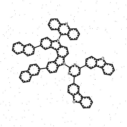 c1ccc2cc(-c3ccc4c(c3)c3c5c6cc(-c7ccc8ccccc8c7)ccc6n(-c6c7ccccc7nc7ccccc67)c5ccc3n4-c3nc(-c4ccc5oc6ccccc6c5c4)cc(-c4ccc5oc6ccccc6c5c4)n3)ccc2c1